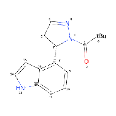 CC(C)(C)C(=O)N1N=CC[C@H]1c1cccc2[nH]ccc12